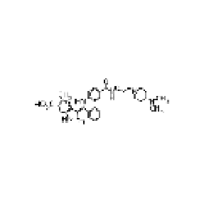 Cc1cc2c(cc1C(=O)O)NC(=O)C2=C(Nc1ccc(C(=O)NOCCN2CCC(N(C)C)CC2)cc1)c1ccccc1